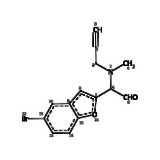 C#CCN(C)C(C=O)c1cc2cc(Br)ccc2o1